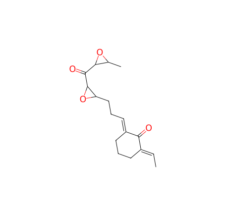 C/C=C1\CCC/C(=C\CCC2OC2C(=O)C2OC2C)C1=O